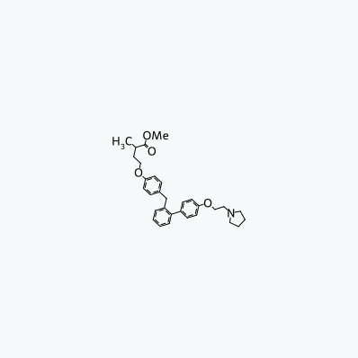 COC(=O)C(C)CCOc1ccc(Cc2ccccc2-c2ccc(OCCN3CCCC3)cc2)cc1